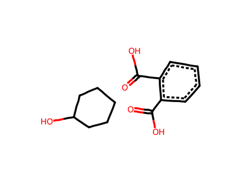 O=C(O)c1ccccc1C(=O)O.OC1CCCCC1